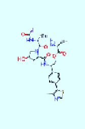 Cc1ncsc1-c1ccc(C(COC(=O)[C@@H](N)C(C)C)NC(=O)C2CC(O)CN2C(=O)C(NC(=O)I)C(C)(C)C)cc1